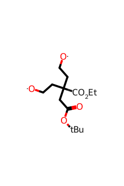 CCOC(=O)C(CC[O])(CC[O])CC(=O)OC(C)(C)C